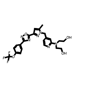 Cc1cc(-c2nc(-c3ccc(OC(F)(F)F)cc3)no2)nn1Cc1ccnc(N(CCO)CCO)c1